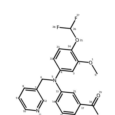 COc1cc(N(Cc2cccnc2)c2cccc(C(=O)O)c2)ccc1OC(F)F